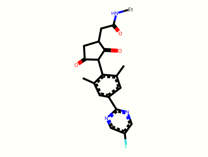 CCNC(=O)CC1CC(=O)C(c2c(C)cc(-c3ncc(F)cn3)cc2C)C1=O